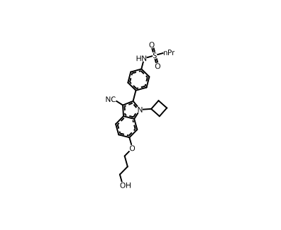 CCCS(=O)(=O)Nc1ccc(-c2c(C#N)c3ccc(OCCCO)cc3n2C2CCC2)cc1